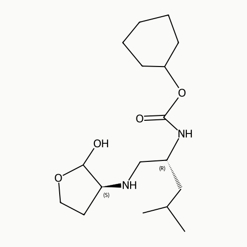 CC(C)C[C@H](CN[C@H]1CCOC1O)NC(=O)OC1CCCCC1